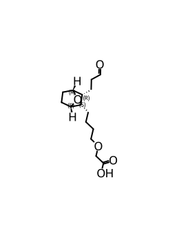 O=CCC[C@@H]1[C@H](CCCCOCC(=O)O)[C@@H]2CC[C@H]1O2